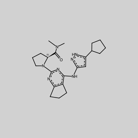 CN(C)C(=O)[C@@H]1CCCN1c1nc2c(c(Nc3cc(C4CCCC4)[nH]n3)n1)CCC2